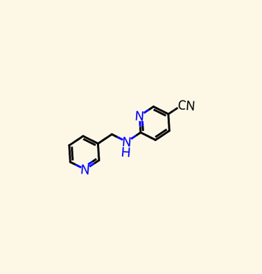 N#Cc1ccc(NCc2cccnc2)nc1